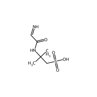 CC(C)(CS(=O)(=O)O)NC(=O)C=N